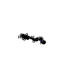 N=C/C(=C\NC1CCN(C(=O)CCCCNc2ccc3c(c2)C(=O)N(C2CCC(=O)NC2=O)C3=O)CC1)c1cnc2ccccc2n1